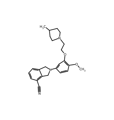 COc1ccc(N2Cc3cccc(C#N)c3C2)cc1OCCN1CCC(C)CC1